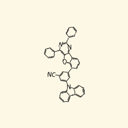 N#Cc1cc(-c2cccc3c2oc2c(-c4ccccc4)nc(-c4ccccc4)nc23)cc(-n2c3ccccc3c3ccccc32)c1